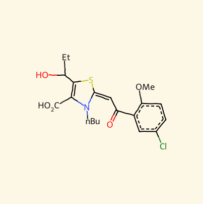 CCCCN1C(=CC(=O)c2cc(Cl)ccc2OC)SC(C(O)CC)=C1C(=O)O